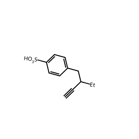 C#CC(CC)Cc1ccc(S(=O)(=O)O)cc1